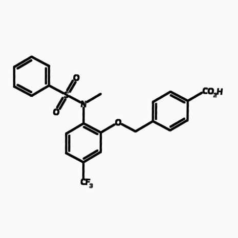 CN(c1ccc(C(F)(F)F)cc1OCc1ccc(C(=O)O)cc1)S(=O)(=O)c1ccccc1